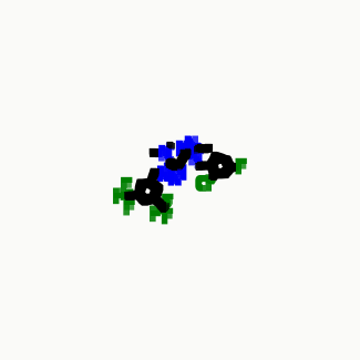 Cc1nnc(-c2nnn(Cc3cc(C(F)(F)F)cc(C(F)(F)F)c3)c2N(C)C)n1Cc1ccc(F)cc1Cl